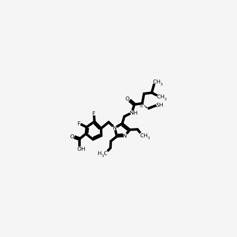 CCCc1nc(CC)c(CNC(=O)[C@@H](CS)CC(C)C)n1Cc1ccc(C(=O)O)c(F)c1F